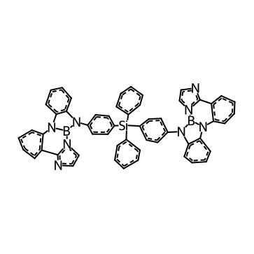 c1ccc([Si](c2ccccc2)(c2ccc(N3B4N(c5ccccc5-c5nccn54)c4ccccc43)cc2)c2ccc(N3B4N(c5ccccc5-c5nccn54)c4ccccc43)cc2)cc1